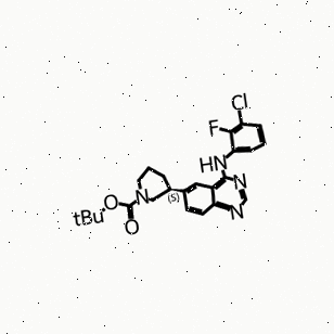 CC(C)(C)OC(=O)N1CCC[C@@H](c2ccc3ncnc(Nc4cccc(Cl)c4F)c3c2)C1